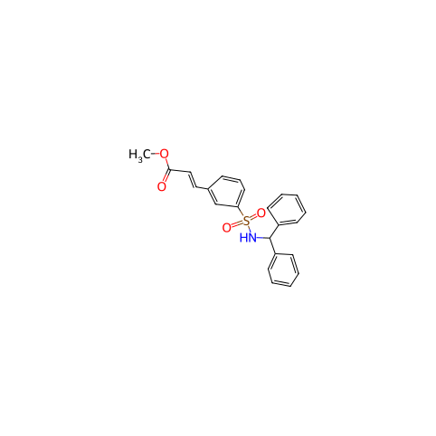 COC(=O)C=Cc1cccc(S(=O)(=O)NC(c2ccccc2)c2ccccc2)c1